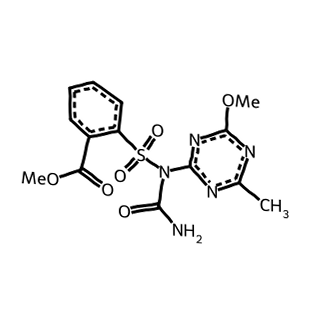 COC(=O)c1ccccc1S(=O)(=O)N(C(N)=O)c1nc(C)nc(OC)n1